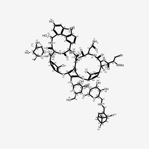 CN[C@H](CC(C)C)C(=O)NC1C(=O)NC(CC(N)=O)C(=O)N[C@H]2C(=O)N[C@H]3C(=O)N[C@H](C(=O)NC(C(=O)O)c4cc(O)cc(O)c4-c4cc3ccc4O)[C@H](O[C@H]3C[C@](C)(N)[C@@H](O)[C@H](C)O3)c3ccc(c(Cl)c3)Oc3cc2cc(c3O[C@@H]2O[C@H](CO)[C@@H](O[C@@H]3O[C@H](CNCC4CC[C@H]5C[C@@H]4C5(C)C)[C@H](O)[C@H](O)[C@H]3O)[C@H](O)[C@H]2O)Oc2ccc(cc2Cl)[C@H]1O